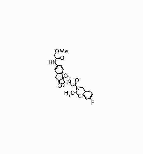 COCC(=O)Nc1ccc2c(c1)CC(=O)[C@]21OCN(CC(=O)N(Cc2ccc(F)cc2)C(C)C(F)(F)F)C1=O